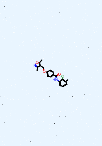 Cc1cccc(NC(=O)c2ccc(OCc3c(C)noc3C)cc2)c1Cl